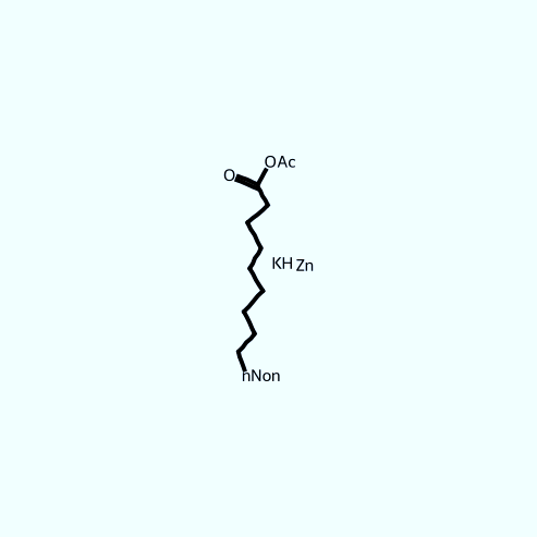 CCCCCCCCCCCCCCCCCC(=O)OC(C)=O.[KH].[Zn]